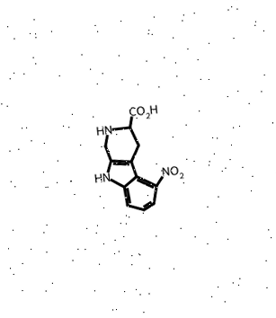 O=C(O)C1Cc2c([nH]c3cccc([N+](=O)[O-])c23)CN1